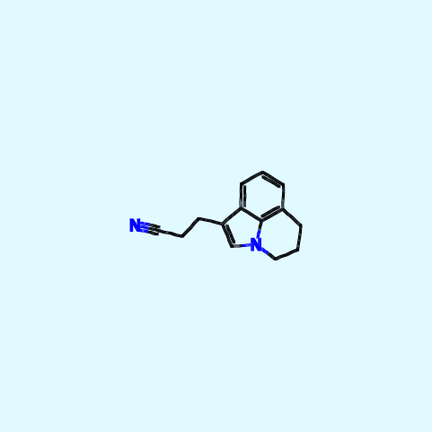 N#CCCc1cn2c3c(cccc13)CCC2